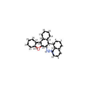 Nc1c(-c2cccc3ccccc23)c2ccccc2c2c1oc1ccccc12